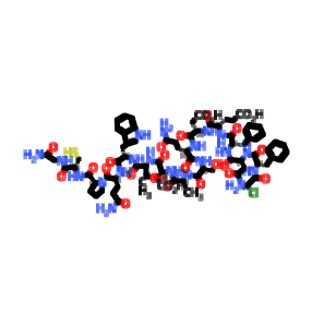 C[C@H](NC(=O)[C@H](CO)NC(=O)[C@H](CCC(N)=O)NC(=O)[C@H](CC(=O)O)NC(=O)[C@H](CCC(=O)O)NC(=O)[C@H](Cc1ccccc1)NC(=O)[C@H](CC(N)=O)NC(=O)[C@H](Cc1ccccc1)NC(=O)CCl)C(=O)N[C@@H](CC(=O)O)C(=O)N[C@H](C(=O)N[C@@H](Cc1c[nH]c2ccccc12)C(=O)N[C@@H](CCC(N)=O)C(=O)N1CCC[C@H]1C(=O)N[C@@H](CS)C(=O)NCC(N)=O)[C@@H](C)O